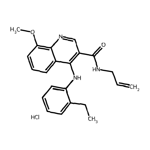 C=CCNC(=O)c1cnc2c(OC)cccc2c1Nc1ccccc1CC.Cl